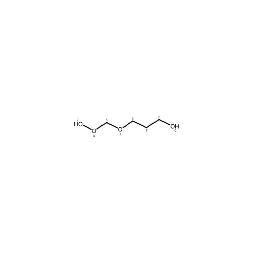 OCCCOCOO